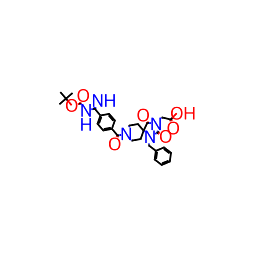 CC(C)(C)OC(=O)NC(=N)c1ccc(C(=O)N2CCC3(CC2)C(=O)N(CC(=O)O)C(=O)N3Cc2ccccc2)cc1